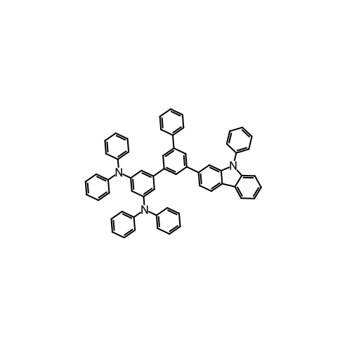 c1ccc(-c2cc(-c3cc(N(c4ccccc4)c4ccccc4)cc(N(c4ccccc4)c4ccccc4)c3)cc(-c3ccc4c5ccccc5n(-c5ccccc5)c4c3)c2)cc1